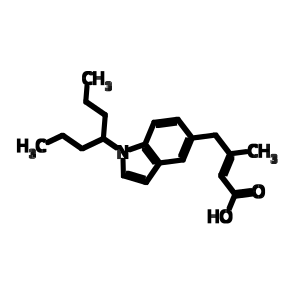 CCCC(CCC)n1ccc2cc(CC(C)=CC(=O)O)ccc21